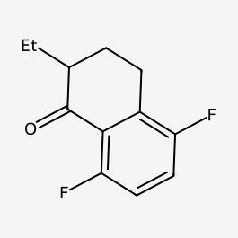 CCC1CCc2c(F)ccc(F)c2C1=O